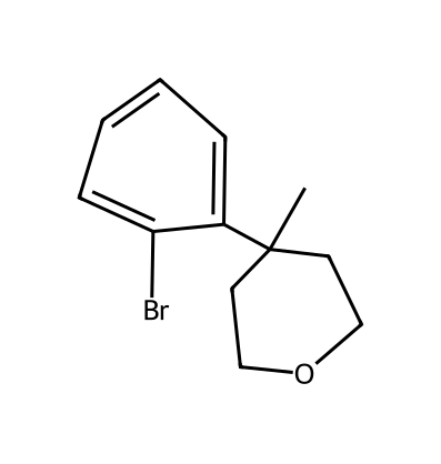 CC1(c2ccccc2Br)CCOCC1